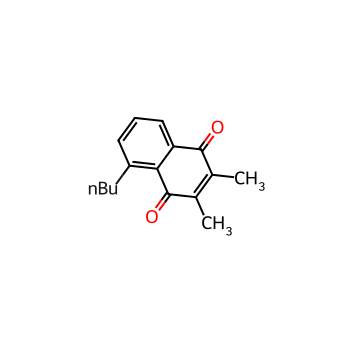 CCCCc1cccc2c1C(=O)C(C)=C(C)C2=O